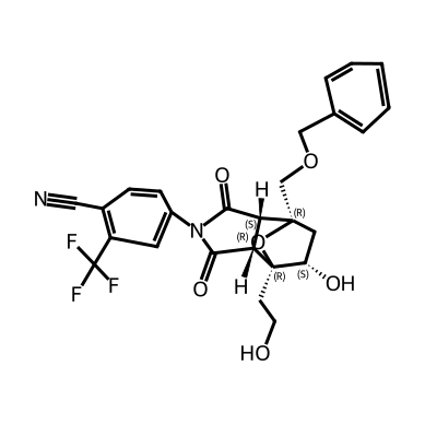 N#Cc1ccc(N2C(=O)[C@@H]3[C@H](C2=O)[C@@]2(COCc4ccccc4)C[C@H](O)[C@]3(CCO)O2)cc1C(F)(F)F